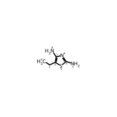 CCc1sc(N)nc1N